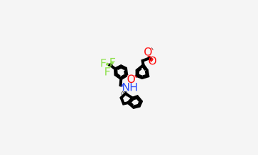 COC(=O)Cc1cccc(Oc2ccc(C(F)(F)F)cc2CN[C@H]2CCc3ccccc32)c1